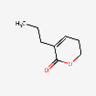 CCCC1=CCCOC1=O